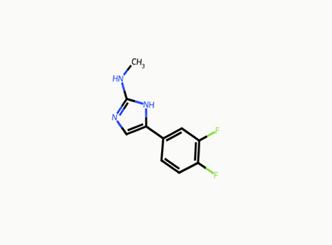 CNc1ncc(-c2ccc(F)c(F)c2)[nH]1